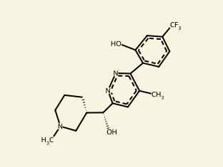 Cc1cc([C@H](O)[C@H]2CCCN(C)C2)nnc1-c1ccc(C(F)(F)F)cc1O